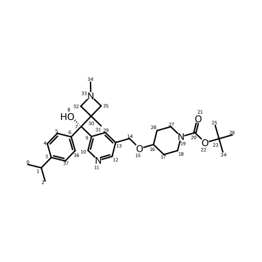 CC(C)c1ccc([C@](O)(c2cncc(COC3CCN(C(=O)OC(C)(C)C)CC3)c2)C2(C)CN(C)C2)cc1